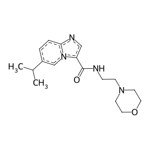 CC(C)c1ccc2ncc(C(=O)NCCN3CCOCC3)n2c1